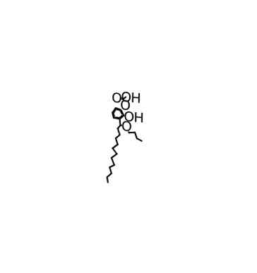 CCCCCCCCCCCCC(OCCCC)c1cccc(OC(=O)O)c1O